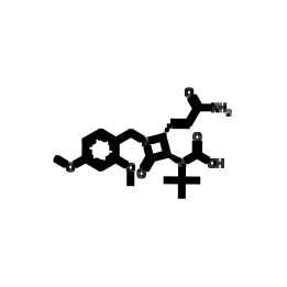 COc1ccc(CN2C(=O)[C@H](N(C(=O)O)C(C)(C)C)[C@H]2C=CC(N)=O)c(OC)c1